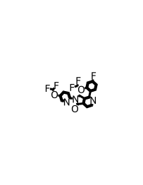 O=C1c2ccnc(-c3ccc(F)cc3OC(F)F)c2CN1c1ccc(OC(F)F)cn1